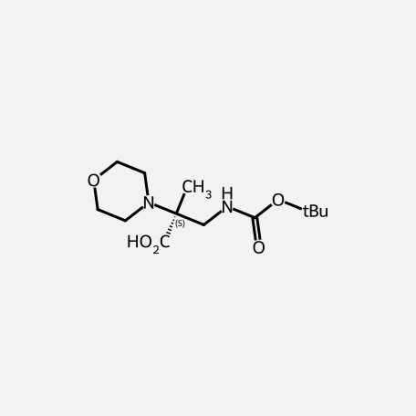 CC(C)(C)OC(=O)NC[C@@](C)(C(=O)O)N1CCOCC1